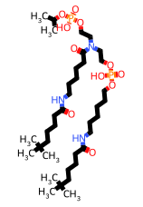 CC(C)OP(=O)(O)OCCN(CCOP(=O)(O)OCCCCCCNC(=O)CCCCC(C)(C)C)C(=O)CCCCCNC(=O)CCCCC(C)(C)C